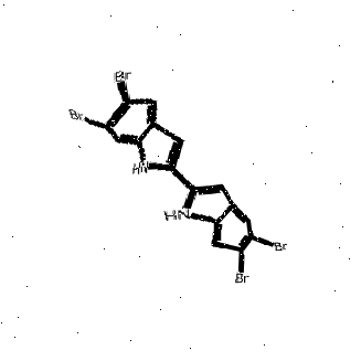 Brc1cc2cc(-c3cc4cc(Br)c(Br)cc4[nH]3)[nH]c2cc1Br